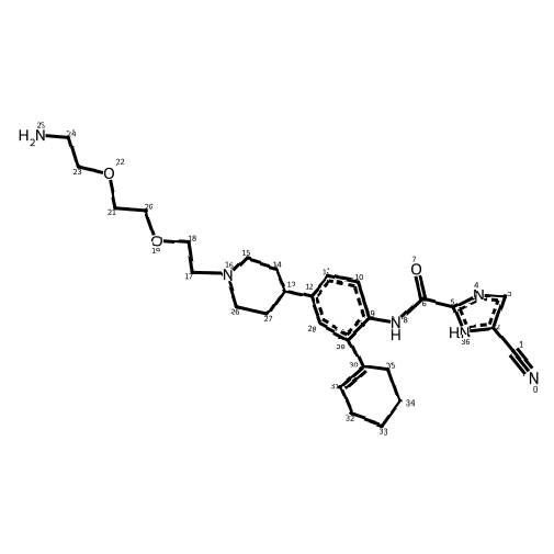 N#Cc1cnc(C(=O)Nc2ccc(C3CCN(CCOCCOCCN)CC3)cc2C2=CCCCC2)[nH]1